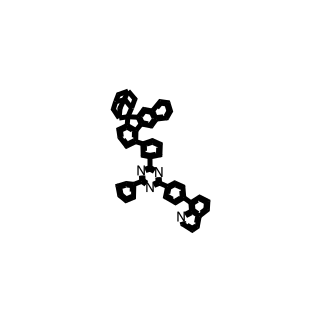 c1ccc(-c2nc(-c3ccc(-c4cccc5cccnc45)cc3)nc(-c3cccc(-c4cccc5c4-c4cc6ccccc6cc4C54C5CC6CC(C5)CC4C6)c3)n2)cc1